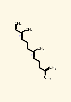 C=C/C(C)=C/CC/C(C)=C/CCC(=C)C